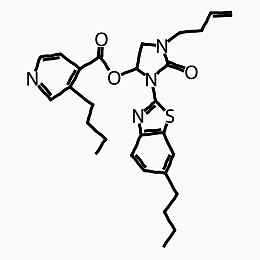 C=CCCN1CC(OC(=O)c2ccncc2CCCC)N(c2nc3ccc(CCCC)cc3s2)C1=O